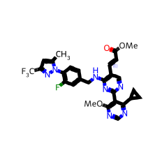 COC(=O)/C=C/c1cnc(-c2c(OC)ncnc2C2CC2)nc1NCc1ccc(-n2nc(C(F)(F)F)cc2C)c(F)c1